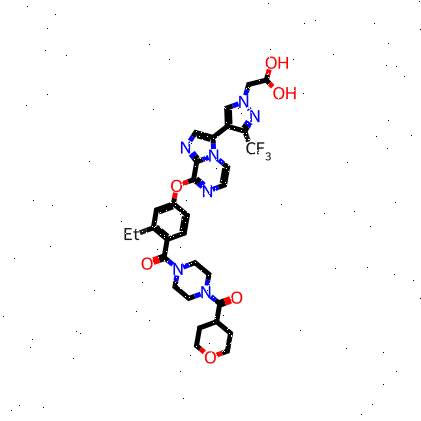 CCc1cc(Oc2nccn3c(-c4cn(CC(O)O)nc4C(F)(F)F)cnc23)ccc1C(=O)N1CCN(C(=O)C2CCOCC2)CC1